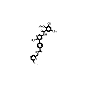 COc1c(C#N)cc(C(C)(C)C)cc1C(=O)Nc1cnc(C)c(-c2ccc(C(=O)NCc3cccc(C)n3)cc2)c1